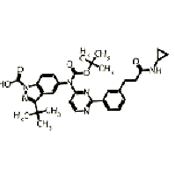 CC(C)(C)OC(=O)N(c1ccc2c(c1)c(C(C)(C)C)nn2C(=O)O)c1ccnc(-c2cccc(CCC(=O)NC3CC3)c2)n1